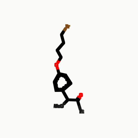 CCC(=O)C(OC)c1ccc(OCCCCBr)cc1